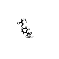 COC(=O)c1ccc(SCC(N)=O)cc1